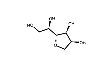 OC[C@@H](O)[C@H]1O[CH][C@H](O)[C@@H]1O